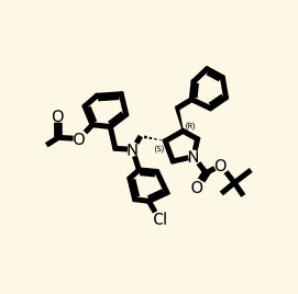 CC(=O)Oc1ccccc1CN(C[C@H]1CN(C(=O)OC(C)(C)C)C[C@@H]1Cc1ccccc1)c1ccc(Cl)cc1